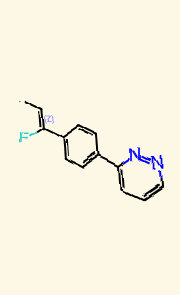 [CH2]/C=C(\F)c1ccc(-c2cccnn2)cc1